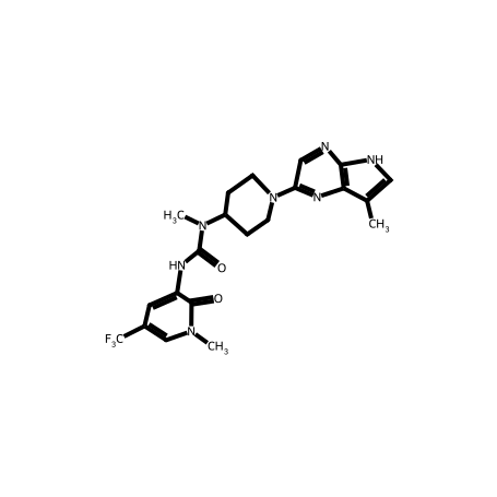 Cc1c[nH]c2ncc(N3CCC(N(C)C(=O)Nc4cc(C(F)(F)F)cn(C)c4=O)CC3)nc12